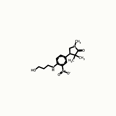 CN1CC(c2ccc(NCCCO)c([N+](=O)[O-])c2)C(C)(C)C1=O